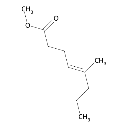 CCCC(C)=CCCC(=O)OC